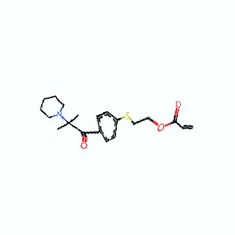 C=CC(=O)OCCSc1ccc(C(=O)C(C)(C)N2CCCCC2)cc1